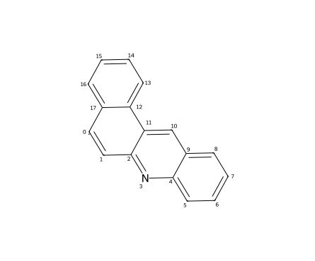 [c]1cc2nc3ccccc3cc2c2ccccc12